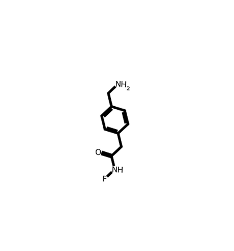 NCc1ccc(CC(=O)NF)cc1